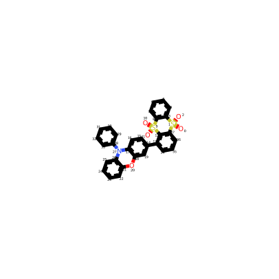 O=S1(=O)c2ccccc2S(=O)(=O)c2c(-c3ccc4c(c3)Oc3ccccc3N4c3ccccc3)cccc21